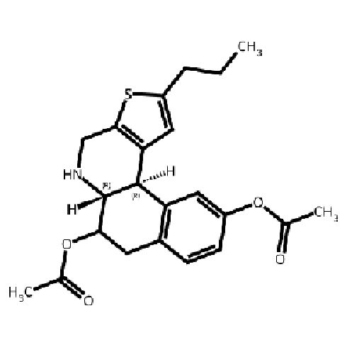 CCCc1cc2c(s1)CN[C@H]1C(OC(C)=O)Cc3ccc(OC(C)=O)cc3[C@H]21